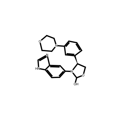 OC1OC[C@H](c2cccc(N3CCOCC3)c2)N1c1ccc2[nH]cnc2c1